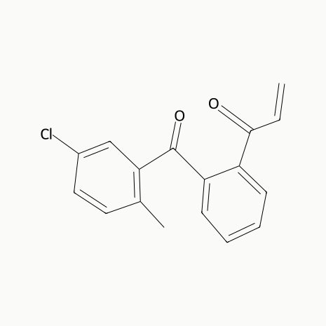 C=CC(=O)c1ccccc1C(=O)c1cc(Cl)ccc1C